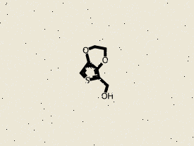 OCc1scc2c1OCCO2